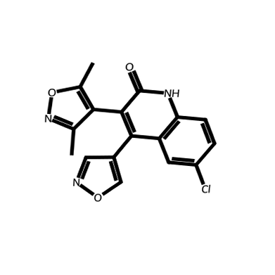 Cc1noc(C)c1-c1c(-c2cnoc2)c2cc(Cl)ccc2[nH]c1=O